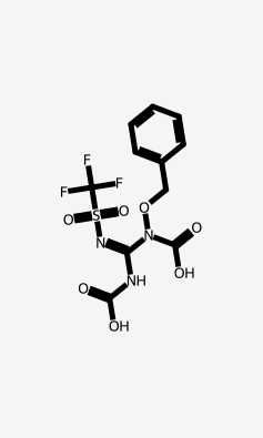 O=C(O)NC(=NS(=O)(=O)C(F)(F)F)N(OCc1ccccc1)C(=O)O